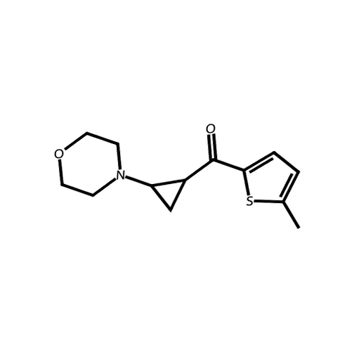 Cc1ccc(C(=O)C2CC2N2CCOCC2)s1